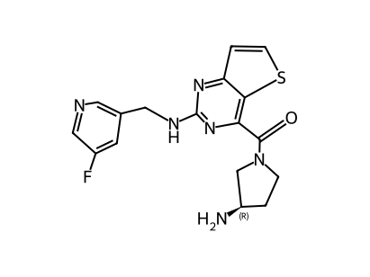 N[C@@H]1CCN(C(=O)c2nc(NCc3cncc(F)c3)nc3ccsc23)C1